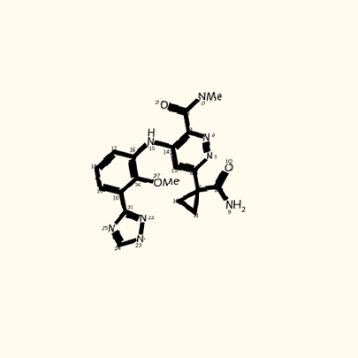 CNC(=O)c1nnc(C2(C(N)=O)CC2)cc1Nc1cccc(C2=N[N]C=N2)c1OC